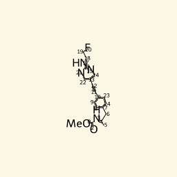 COC(=O)NC(C)Cc1ccc(C#Cc2cnc(NCCF)nc2)cc1